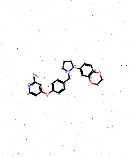 Cc1cc(Oc2ccc(CN3CCC[C@H]3c3ccc4c(c3)OCCO4)cc2)ccn1